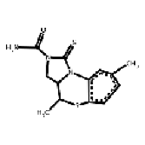 Cc1ccc2c(c1)N1C(=S)N(C(N)=O)CC1C(C)S2